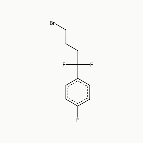 Fc1ccc(C(F)(F)CCCBr)cc1